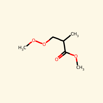 COOCC(C)C(=O)OC